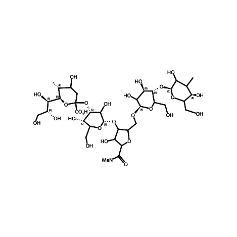 CNC(=O)C1OC(CO[C@@H]2OC(CO)[C@@H](O[C@@H]3OC(CO)[C@H](O)C(C)C3O)[C@H](O)C2O)C(O[C@@H]2OC(CO)[C@H](O)[C@H](OC3(C(=O)O)CC(O)[C@@H](C)[C@H]([C@H](O)[C@H](O)CO)O3)C2O)C1O